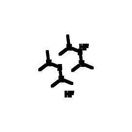 CN(C)SN(C)C.CN(C)SN(C)C.F.F